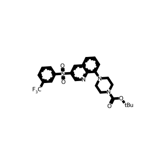 CC(C)(C)OC(=O)N1CCN(c2cccc3cc(S(=O)(=O)c4cccc(C(F)(F)F)c4)cnc23)CC1